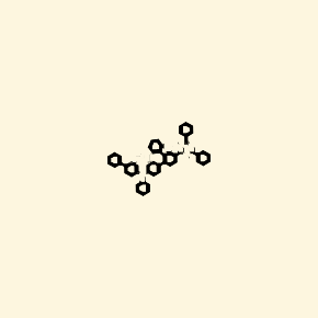 CC(C)(C)c1cc(N(C2=CC=C(c3ccc(-c4nc(-c5ccccc5)nc(-c5ccccc5)n4)c4oc5ccccc5c34)CC2)c2ccccc2)ccc1-c1ccccc1